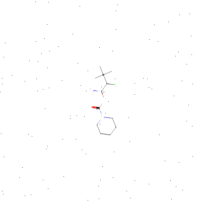 CC(C)(C)C(F)[C@H](N)OC(=O)N1CCCCC1